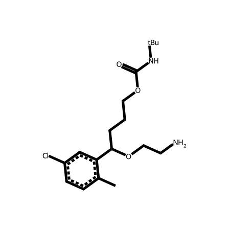 Cc1ccc(Cl)cc1C(CCCOC(=O)NC(C)(C)C)OCCN